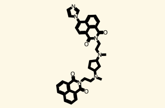 CN(CCN1C(=O)c2cccc3cccc(c23)C1=O)C1CCC(N(C)CCN2C(=O)c3cccc4c(-n5ccnc5)ccc(c34)C2=O)C1